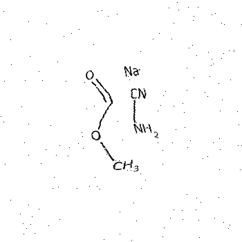 COC=O.N#CN.[Na]